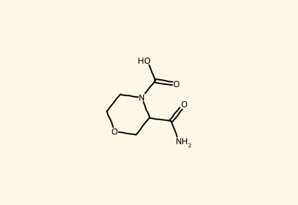 NC(=O)C1COCCN1C(=O)O